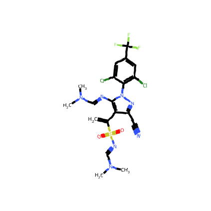 C=C(c1c(C#N)nn(-c2c(Cl)cc(C(F)(F)F)cc2Cl)c1N=CN(C)C)S(=O)(=O)N=CN(C)C